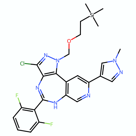 Cn1cc(-c2cc3c(cn2)NC(c2c(F)cccc2F)=Nc2c(Cl)nn(COCC[Si](C)(C)C)c2-3)cn1